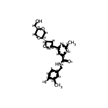 Cc1nc(C(=O)NCc2ccc(F)c(C)c2)cc(C2=NOC([C@H]3CO[C@H](CO)CO3)C2)n1